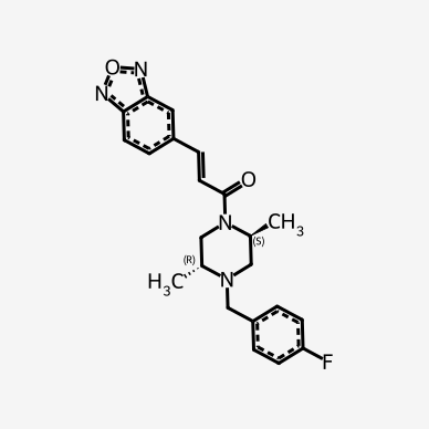 C[C@@H]1CN(C(=O)C=Cc2ccc3nonc3c2)[C@@H](C)CN1Cc1ccc(F)cc1